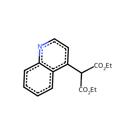 CCOC(=O)C(C(=O)OCC)c1ccnc2ccccc12